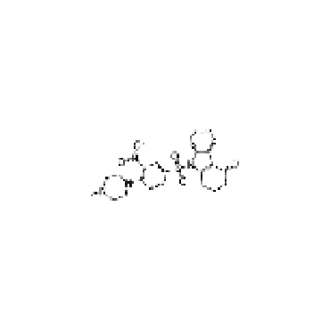 CN1CCN(c2ccc(S(=O)(=O)n3c4c(c5ccccc53)C(=O)CCC4)cc2[N+](=O)[O-])CC1